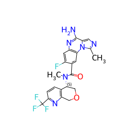 Cc1ncc2c(N)nc3cc(F)c(C(=O)N(C)[C@@H]4COCc5nc(C(F)(F)F)ccc54)cc3n12